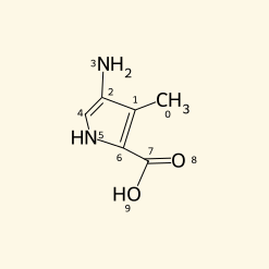 Cc1c(N)c[nH]c1C(=O)O